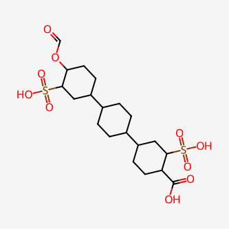 O=COC1CCC(C2CCC(C3CCC(C(=O)O)C(S(=O)(=O)O)C3)CC2)CC1S(=O)(=O)O